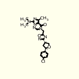 Cc1nc(N(C)C)n2ncn(Cc3nc([C@@H]4CO[C@@H](c5ccc(Cl)cc5)C4)no3)c(=O)c12